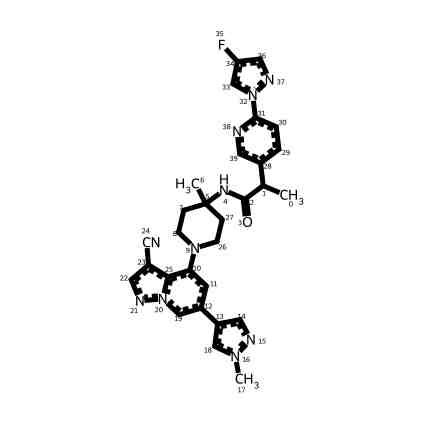 CC(C(=O)NC1(C)CCN(c2cc(-c3cnn(C)c3)cn3ncc(C#N)c23)CC1)c1ccc(-n2cc(F)cn2)nc1